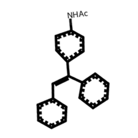 CC(=O)Nc1ccc(C(=Cc2ccccc2)c2ccccc2)cc1